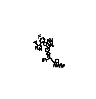 CNC(=O)CC[C@@H](C(C)C)N1CC2(CCN(c3ncnnc3Oc3ccc(F)cc3-c3cncnc3C3CC3)C2)C1